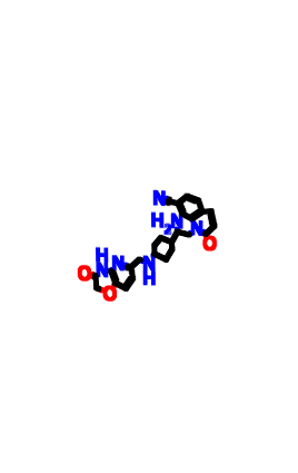 N#Cc1ccc2ccc(=O)n(CC(N)C3CCC(NCc4ccc5c(n4)NC(=O)CO5)CC3)c2c1